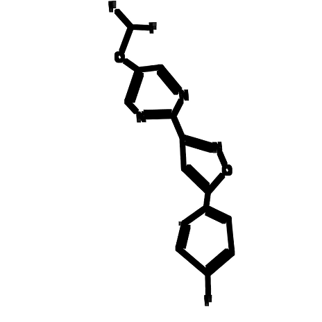 Fc1c[c]c(-c2cc(-c3ncc(OC(F)F)cn3)no2)cc1